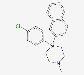 CN1CC[Si](c2ccc(Cl)cc2)(c2ccc3ccccc3c2)CC1